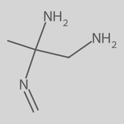 C=NC(C)(N)CN